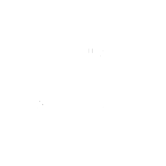 O=C(O)c1cccc(Sc2ccc([N+](=O)[O-])cc2)c1